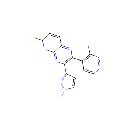 Cn1ccc(-c2nc3c(nc2-c2ccncc2Cl)C=CC(O)N3)n1